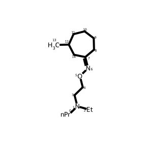 CCCN(CC)CCON=C1CCCCC(C)C1